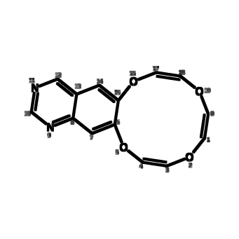 C1=COC=COc2cc3ncncc3cc2OC=CO1